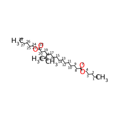 CCCCCOC(=O)CCCCCCCCCCC(CCC(=O)OCCCCC)C(C)C